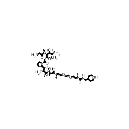 CC[C@H](C)[C@@H]([C@@H](CC(=O)N1CCC[C@H]1[C@H](OC)[C@@H](C)C(=O)NCC(=O)NCCOCCOCCNC(=O)NCC1CCNCC1)OC)N(C)C(=O)CN